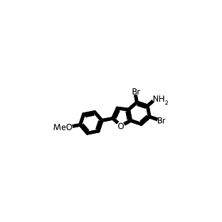 COc1ccc(-c2cc3c(Br)c(N)c(Br)cc3o2)cc1